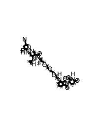 N#Cc1cnc(Nc2cc(NC3CC3)c(C(=O)NCC(F)COCCOCCOCCNc3cccc4c3C(=O)N(C3CCC(=O)NC3=O)C4=O)cn2)c(F)c1